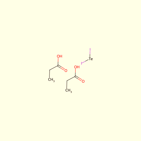 CCC(=O)O.CCC(=O)O.I[Te]I